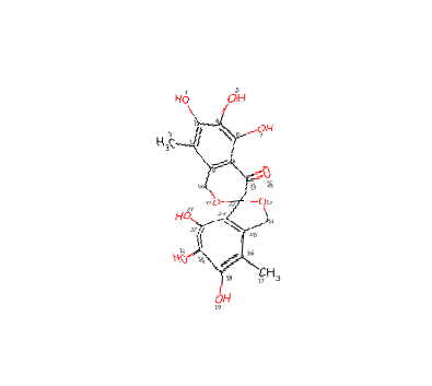 Cc1c(O)c(O)c(O)c2c1COC1(OCc3c(C)c(O)c(O)c(O)c31)C2=O